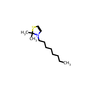 CCCCCCCCN1C=CSC1(C)C